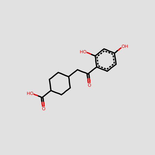 O=C(CC1CCC(C(=O)O)CC1)c1ccc(O)cc1O